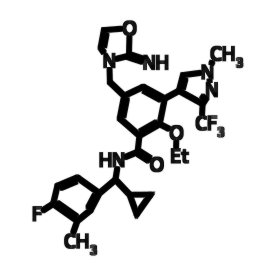 CCOc1c(C(=O)NC(c2ccc(F)c(C)c2)C2CC2)cc(Cn2ccoc2=N)cc1-c1cn(C)nc1C(F)(F)F